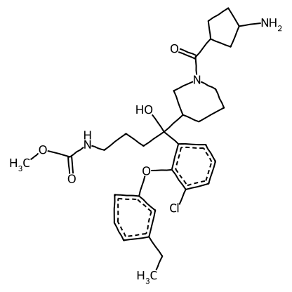 CCc1cccc(Oc2c(Cl)cccc2C(O)(CCCNC(=O)OC)C2CCCN(C(=O)C3CCC(N)C3)C2)c1